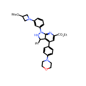 CCOC(=O)c1cc(-c2ccc(N3CCOCC3)cc2)c2c(n1)N(c1cccc(N3CC(OC)C3)c1)NC2C(C)C